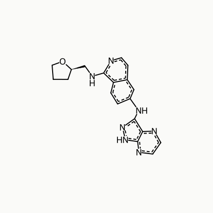 c1cc2cc(Nc3n[nH]c4nccnc34)ccc2c(NC[C@H]2CCCO2)n1